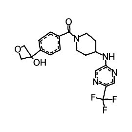 O=C(c1ccc(C2(O)COC2)cc1)N1CCC(Nc2cnc(C(F)(F)F)cn2)CC1